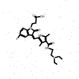 CCN(CC)CCNC(=O)c1c(C)[nH]c(/C=C2\C(=O)N(CCC(=O)O)c3ccc(F)cc32)c1C